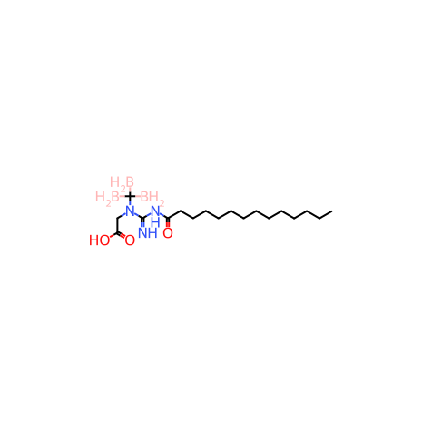 BC(B)(B)N(CC(=O)O)C(=N)NC(=O)CCCCCCCCCCCCC